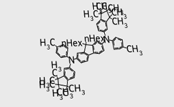 CCCCCCC1(CCCCCC)c2cc(N(c3ccc(C)cc3)c3ccc4c(c3)C(C)(C)C(C)(C)C4(C)C)ccc2-c2ccc(N(c3ccc(C)cc3)c3ccc4c(c3)C(C)(C)C(C)(C)C4(C)C)cc21